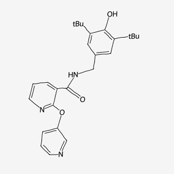 CC(C)(C)c1cc(CNC(=O)c2cccnc2Oc2cccnc2)cc(C(C)(C)C)c1O